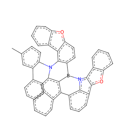 Cc1ccc(N2c3cc4ccccc4c4c3B(c3ccc5oc6ccccc6c5c32)n2c3c-4cccc3c3oc4ccccc4c32)c(-c2ccccc2)c1